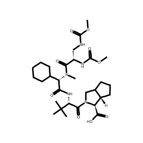 COC(=O)NC[C@H](NC(=O)OC)C(=O)N(C)[C@H](C(=O)N[C@H](C(=O)N1CC2CCC[C@@H]2[C@H]1C(=O)O)C(C)(C)C)C1CCCCC1